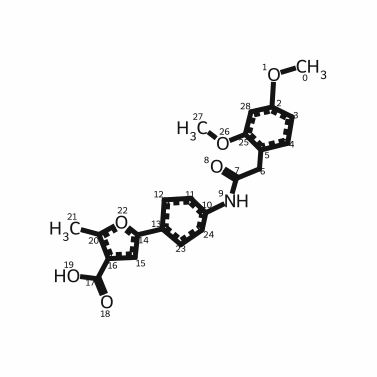 COc1ccc(CC(=O)Nc2ccc(-c3cc(C(=O)O)c(C)o3)cc2)c(OC)c1